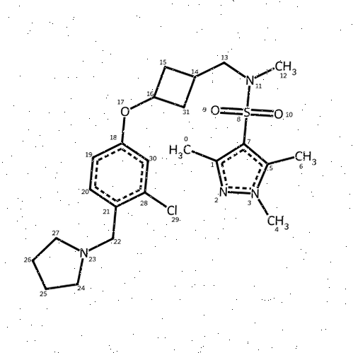 Cc1nn(C)c(C)c1S(=O)(=O)N(C)CC1CC(Oc2ccc(CN3CCCC3)c(Cl)c2)C1